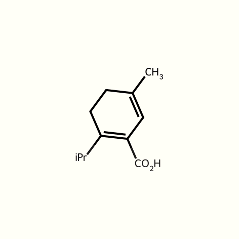 CC1=CC(C(=O)O)=C(C(C)C)CC1